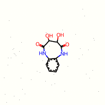 O=C1Nc2ccccc2NC(=O)C(O)C1O